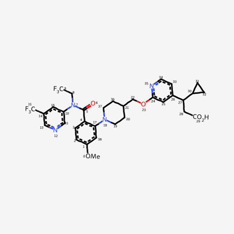 COc1ccc(C(=O)N(CC(F)(F)F)c2cncc(C(F)(F)F)c2)c(N2CCC(COc3cc(C(CC(=O)O)C4CC4)ccn3)CC2)c1